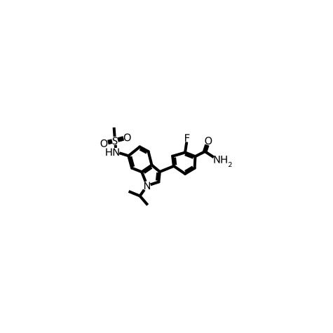 CC(C)n1cc(-c2ccc(C(N)=O)c(F)c2)c2ccc(NS(C)(=O)=O)cc21